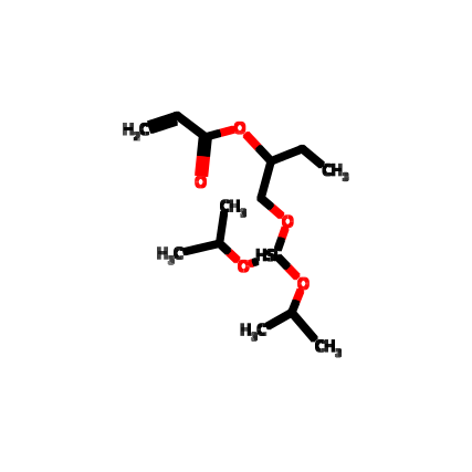 C=CC(=O)OC(CC)CO[SiH](OC(C)C)OC(C)C